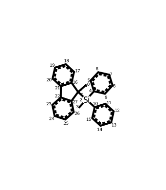 [CH2]C1([Si](C)(c2ccccc2)c2ccccc2)c2ccccc2-c2ccccc21